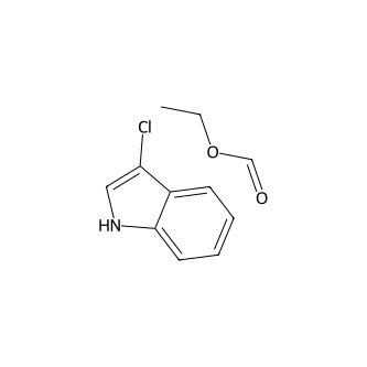 CCOC=O.Clc1c[nH]c2ccccc12